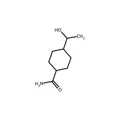 CC(O)C1CCC(C(N)=O)CC1